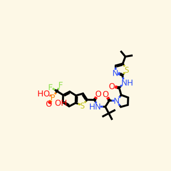 CC(C)c1cnc(NC(=O)C2CCCN2C(=O)C(NC(=O)c2cc3cc(C(F)(F)P(=O)(O)O)ccc3s2)C(C)(C)C)s1